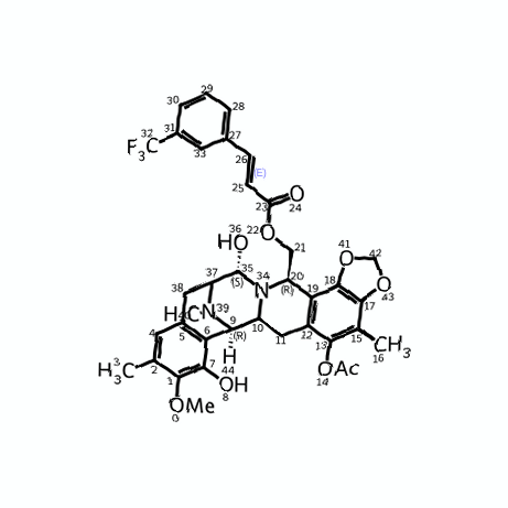 COc1c(C)cc2c(c1O)[C@@H]1C3Cc4c(OC(C)=O)c(C)c5c(c4[C@H](COC(=O)/C=C/c4cccc(C(F)(F)F)c4)N3[C@@H](O)C(C2)N1C)OCO5